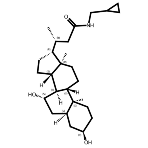 C[C@H](CC(=O)NCC1CC1)[C@H]1CC[C@H]2[C@@H]3[C@@H](O)C[C@@H]4C[C@H](O)CC[C@]4(C)[C@H]3CC[C@]12C